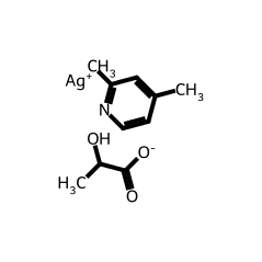 CC(O)C(=O)[O-].Cc1ccnc(C)c1.[Ag+]